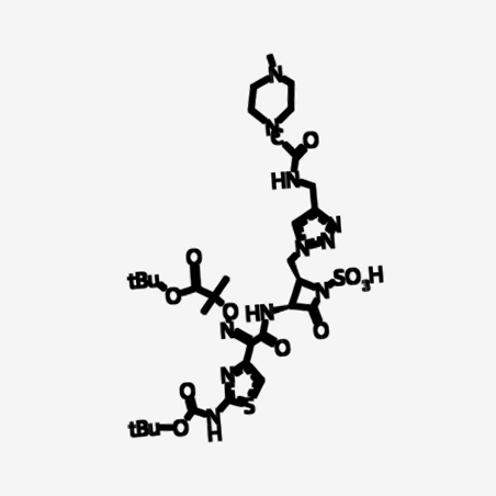 CN1CCN(CC(=O)NCc2cn(C[C@@H]3[C@H](NC(=O)C(=NOC(C)(C)C(=O)OC(C)(C)C)c4csc(NC(=O)OC(C)(C)C)n4)C(=O)N3S(=O)(=O)O)nn2)CC1